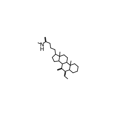 C=C(CCCC1CCC2C3C(=C)/C(=C/C)C4CCCCC4(C)C3CCC12C)NC